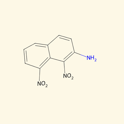 Nc1ccc2cccc([N+](=O)[O-])c2c1[N+](=O)[O-]